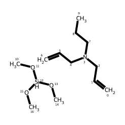 C=CCN(CC=C)CCC.CO[SiH](OC)OC